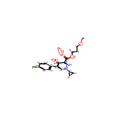 COCCCOC(=O)c1nn(C2CC2)cc(-c2ccc(F)cc2)c1=O